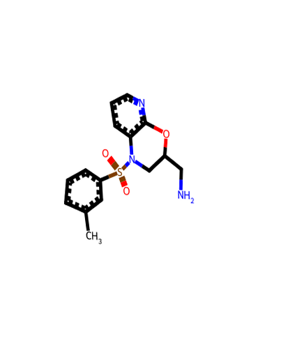 Cc1cccc(S(=O)(=O)N2CC(CN)Oc3ncccc32)c1